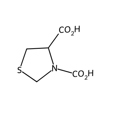 O=C(O)C1CSCN1C(=O)O